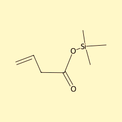 C=CCC(=O)O[Si](C)(C)C